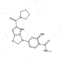 CNC(=O)n1ccc(N2COc3cc(C(=O)N4CCCC4)[nH]c32)cc1=N